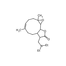 CCN(CC)CC1C(=O)OC2C1CCC(C)=CCCC1(C)OC21